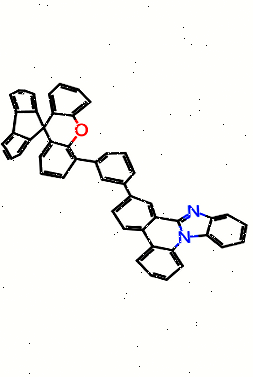 c1cc(-c2ccc3c4ccccc4n4c5ccccc5nc4c3c2)cc(-c2cccc3c2Oc2ccccc2C32c3ccccc3-c3ccccc32)c1